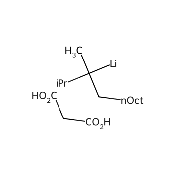 O=C(O)CC(=O)O.[Li][C](C)(CCCCCCCCC)C(C)C